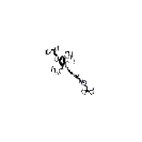 CCc1cc(OCC=C(Cl)Cl)cc(C)c1OCCCOC/C=N/OCC=C(Cl)Cl